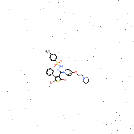 Cc1ccc(S(=O)(=O)N/N=C(/c2c(Br)sc(Br)c2-c2ccccc2)N2CC3CC2CC3OCCN2CCCC2)cc1